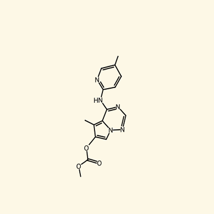 COC(=O)Oc1cn2ncnc(Nc3ccc(C)cn3)c2c1C